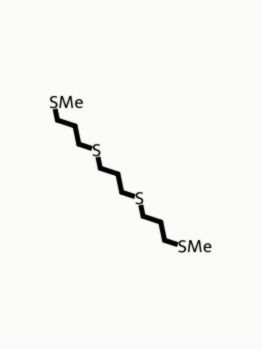 CSCCCSCCCSCCCSC